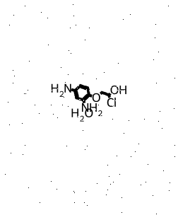 Nc1ccc(OCC(O)Cl)c(N)c1.O